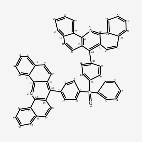 O=P(c1ccccc1)(c1ccc(-c2c3ccc4ccccc4c3nc3c2ccc2ccccc23)cc1)c1ccc(-c2c3ccc4ccccc4c3nc3c2ccc2ccccc23)cc1